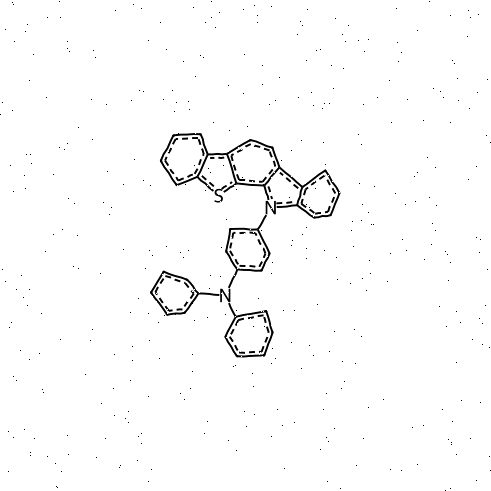 c1ccc(N(c2ccccc2)c2ccc(-n3c4ccccc4c4ccc5c6ccccc6sc5c43)cc2)cc1